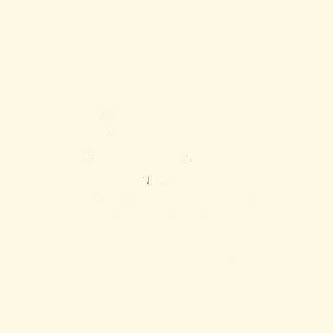 CCOC(=O)CN(C(=O)Cc1ccccc1)C1CC1